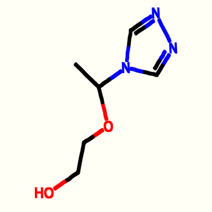 CC(OCCO)n1cnnc1